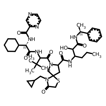 CCCC(NC(=O)C1CC2(CN1C(=O)C(NC(=O)[C@@H](NC(=O)c1cnccn1)C1CCCCC1)C(C)(C)C)SCC(=O)N2CC1CC1)C(O)C(=O)N[C@@H](C)c1ccccc1